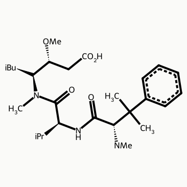 CC[C@H](C)[C@@H]([C@@H](CC(=O)O)OC)N(C)C(=O)[C@@H](NC(=O)[C@@H](NC)C(C)(C)c1ccccc1)C(C)C